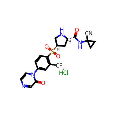 Cl.N#CC1(NC(=O)[C@@H]2C[C@@H](S(=O)(=O)c3ccc(-n4ccncc4=O)cc3C(F)(F)F)CN2)CC1